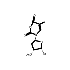 CC[C@H]1O[C@@H](n2cc(I)c(=O)[nH]c2=O)C[C@H]1OC(C)=O